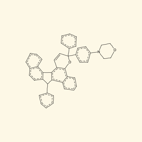 C1=CC(c2ccccc2)(c2ccc(N3CCOCC3)cc2)Oc2c1c1c(c3ccccc23)C(c2ccccc2)c2ccc3ccccc3c2-1